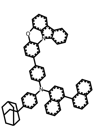 c1ccc2c(-c3ccc(N(c4ccc(-c5ccc6c(c5)-n5c7ccccc7c7cccc(c75)O6)cc4)c4ccc(C56CC7CC(CC(C7)C5)C6)cc4)c4ccccc34)cccc2c1